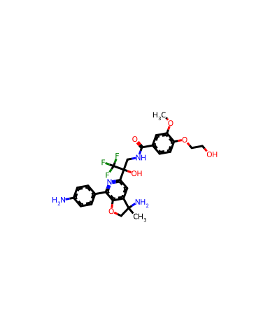 COc1cc(C(=O)NCC(O)(c2cc3c(c(-c4ccc(N)cc4)n2)OCC3(C)N)C(F)(F)F)ccc1OCCO